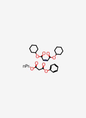 CCCOC(=O)CC(=O)Oc1ccccc1.O=C(/C=C\C(=O)OC1CCCCC1)OC1CCCCC1